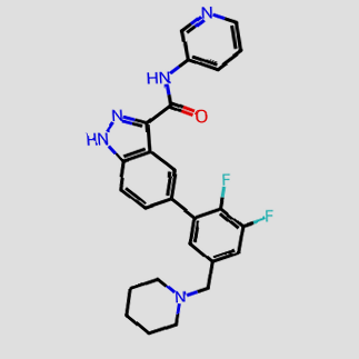 O=C(Nc1cccnc1)c1n[nH]c2ccc(-c3cc(CN4CCCCC4)cc(F)c3F)cc12